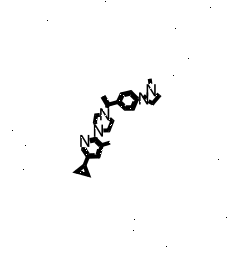 C=C(c1ccc(N2CCN2C)cc1)N1CCN(c2ncc(C3CC3)cc2C)CC1